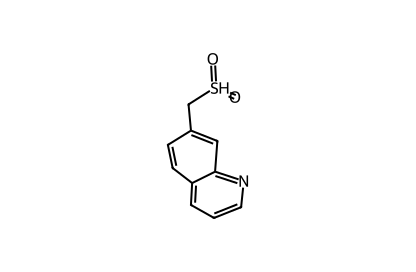 O=[SH](=O)Cc1ccc2cccnc2c1